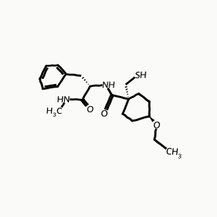 CCO[C@H]1CC[C@@](CS)(C(=O)N[C@@H](Cc2ccccc2)C(=O)NC)CC1